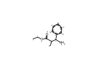 CCOC(=O)C(C)C(N)c1ccccc1